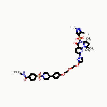 Cc1nn(C)cc1S(=O)(=O)NC(=O)c1ccc(-n2ccc(OCCOCCOc3ccc(C4CCN(S(=O)(=O)c5ccc(C(=O)NCC(=O)O)cc5)CC4)cc3)n2)nc1N1C[C@@H](C)CC1(C)C